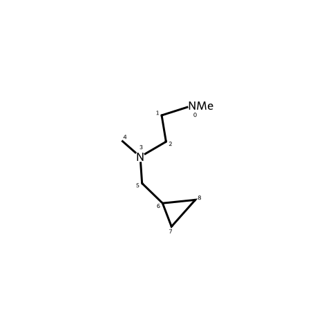 CNCCN(C)CC1CC1